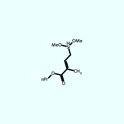 CCCOC(=O)C(C)=CC[SiH](OC)OC